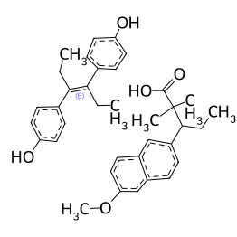 CC/C(=C(/CC)c1ccc(O)cc1)c1ccc(O)cc1.CCC(c1ccc2cc(OC)ccc2c1)C(C)(C)C(=O)O